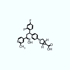 Cc1cc(C(CC(c2ccc(N3C[C@@H]4C(C(=O)O)[C@@H]4C3)cc2)c2ccc(F)cc2F)=NO)ccn1